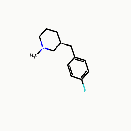 CN1CCC[C@@H](Cc2ccc(F)cc2)C1